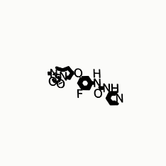 CN1CC2CC(Oc3cc(F)cc(NC(=O)Nc4cccnc4)c3)CN2S1(=O)=O